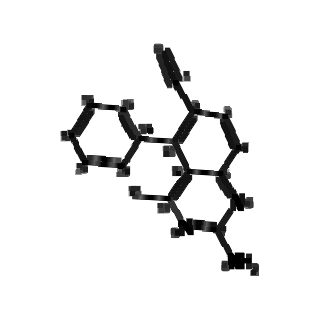 C#Cc1ccc2nc(N)nc(C)c2c1-c1ccccc1